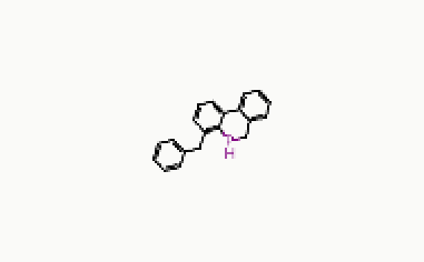 c1ccc(Cc2cccc3c2PCc2ccccc2-3)cc1